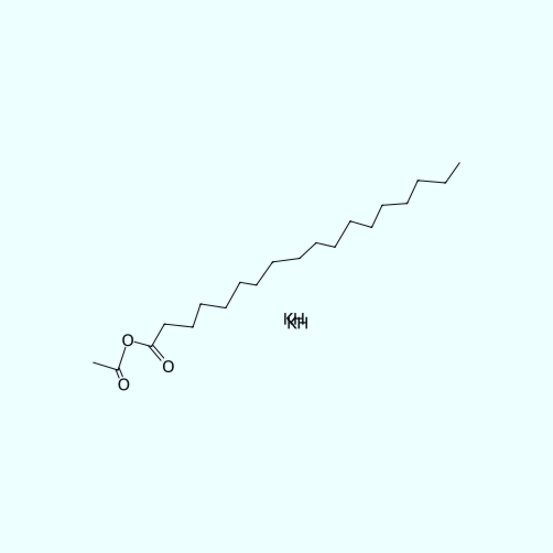 CCCCCCCCCCCCCCCCCC(=O)OC(C)=O.[KH].[KH]